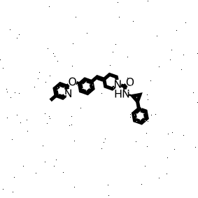 Cc1ccc(Oc2cccc(C=C3CCN(C(=O)N[C@H]4CC4c4ccccc4)CC3)c2)nc1